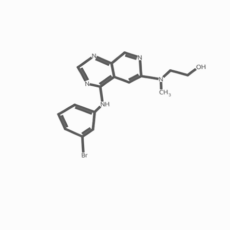 CN(CCO)c1cc2c(Nc3cccc(Br)c3)ncnc2cn1